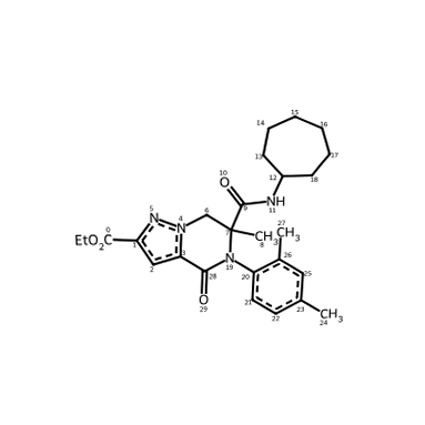 CCOC(=O)c1cc2n(n1)CC(C)(C(=O)NC1CCCCCC1)N(c1ccc(C)cc1C)C2=O